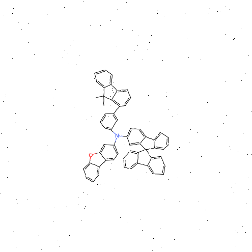 CC1(C)c2ccccc2-c2cccc(-c3cccc(N(c4ccc5c(c4)C4(c6ccccc6-c6ccccc64)c4ccccc4-5)c4ccc5c(c4)oc4ccccc45)c3)c21